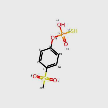 CS(=O)(=O)c1ccc(OP(=O)(O)S)cc1